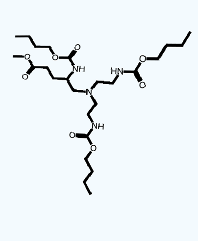 CCCCOC(=O)NCCN(CCNC(=O)OCCCC)CC(CCC(=O)OC)NC(=O)OCCCC